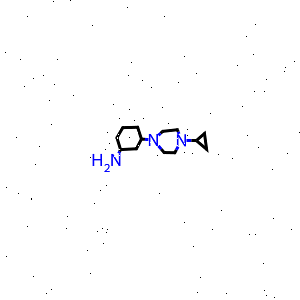 NC1CCCC(N2CCN(C3CC3)CC2)C1